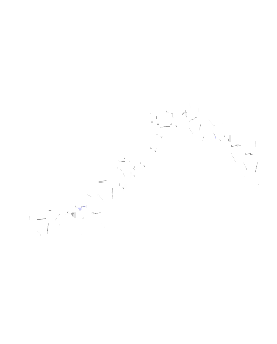 CN(c1ccc2c(c1)C=C(S(=O)(=O)O)/C(=N\Nc1ccc3c(S(=O)(=O)O)cccc3c1S(=O)(=O)O)C2=O)c1nc(Cl)nc(N2CCN(CCNc3nc(Cl)nc(Nc4ccc5c(c4)C=C(S(=O)(=O)O)/C(=N\Nc4ccc6c(S(=O)(=O)O)cccc6c4S(=O)(=O)O)C5=O)n3)CC2)n1